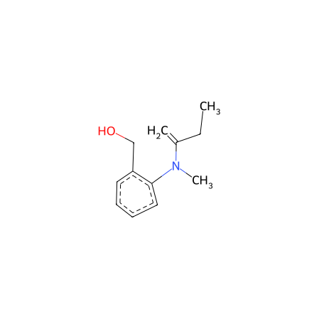 C=C(CC)N(C)c1ccccc1CO